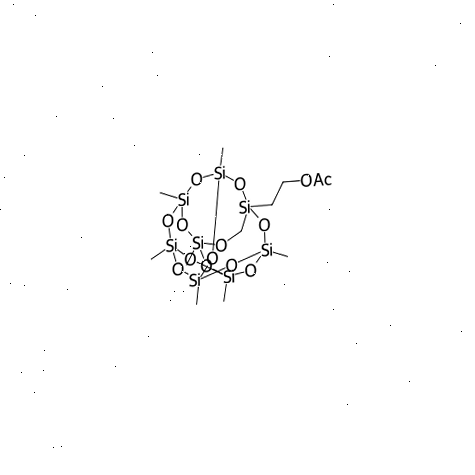 CC(=O)OCC[Si]12CO[Si]3(C)O[Si]4(C)O[Si](C)(O1)O[Si]1(C)O[Si](C)(O2)O[Si](C)(O3)O[Si](C)(O4)O1